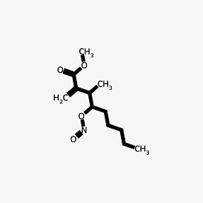 C=C(C(=O)OC)C(C)C(CCCCC)ON=O